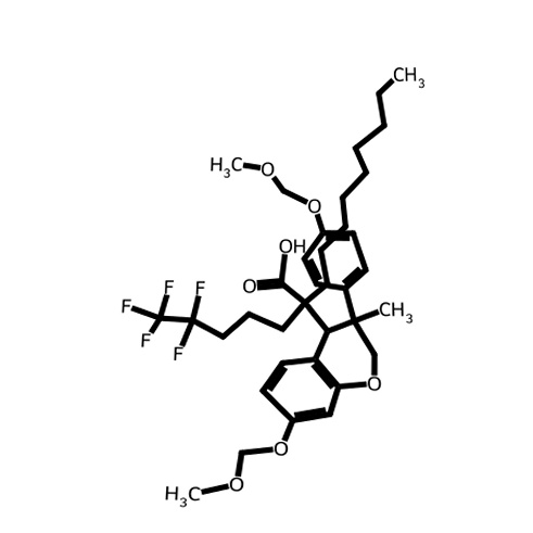 CCCCCCCCCC(CCCC(F)(F)C(F)(F)F)(C(=O)O)C1c2ccc(OCOC)cc2OCC1(C)c1ccc(OCOC)cc1